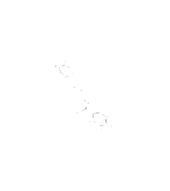 Cl.O=C(NCCCSc1ccncc1)c1ccc(Cl)cc1